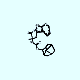 CC(Cc1c[nH]c2ncccc12)(NC(=O)OC1C2CC3CC(C2)CC1C3)C(=O)O